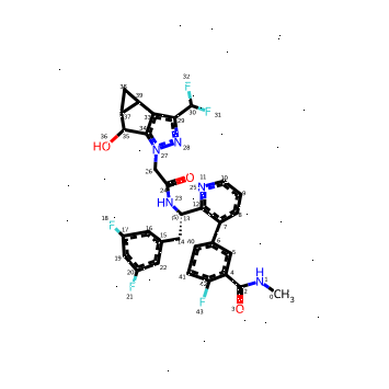 CNC(=O)c1cc(-c2cccnc2[C@H](Cc2cc(F)cc(F)c2)NC(=O)Cn2nc(C(F)F)c3c2C(O)C2CC32)ccc1F